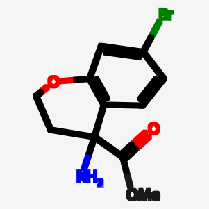 COC(=O)C1(N)CCOc2cc(Br)ccc21